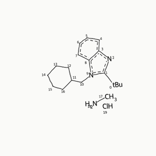 CC(C)(C)c1nc2ccccc2n1CC1CCCCC1.CN.Cl